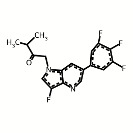 CC(C)C(=O)Cn1cc(F)c2ncc(-c3cc(F)c(F)c(F)c3)cc21